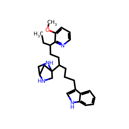 CCC(CCC(CCCc1c[nH]c2ccccc12)C12CNC(CN1)C2)c1ncccc1OC